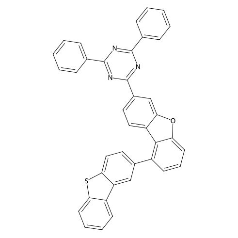 c1ccc(-c2nc(-c3ccccc3)nc(-c3ccc4c(c3)oc3cccc(-c5ccc6sc7ccccc7c6c5)c34)n2)cc1